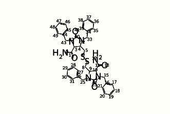 NC(=O)C1C(CSSCC2C(C(N)=O)N(Cc3ccccc3)C(=O)N2Cc2ccccc2)N(Cc2ccccc2)C(=O)N1Cc1ccccc1